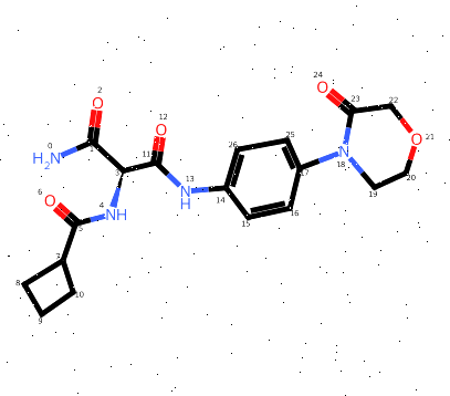 NC(=O)[C@H](NC(=O)C1CCC1)C(=O)Nc1ccc(N2CCOCC2=O)cc1